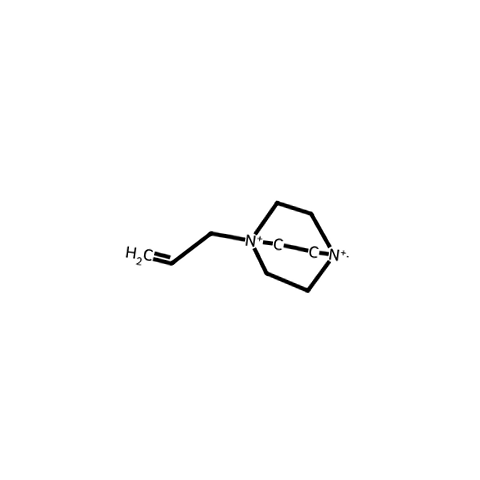 C=CC[N+]12CC[N+](CC1)CC2